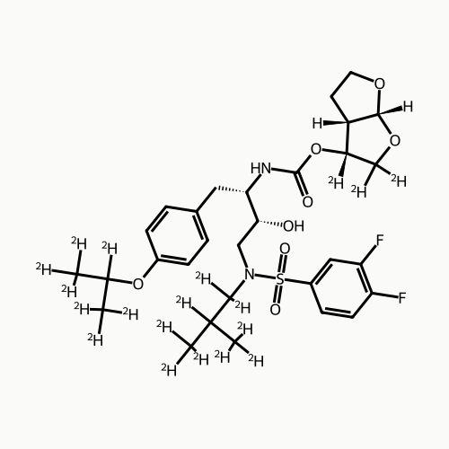 [2H]C([2H])([2H])C([2H])(Oc1ccc(C[C@H](NC(=O)O[C@]2([2H])[C@@H]3CCO[C@@H]3OC2([2H])[2H])[C@H](O)CN(C([2H])([2H])C([2H])(C([2H])([2H])[2H])C([2H])([2H])[2H])S(=O)(=O)c2ccc(F)c(F)c2)cc1)C([2H])([2H])[2H]